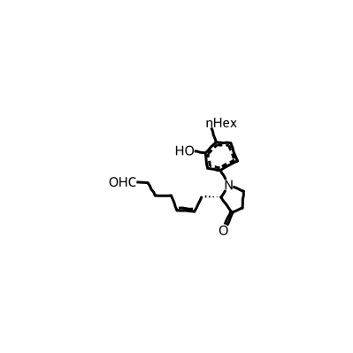 CCCCCCc1ccc(N2CCC(=O)[C@@H]2C/C=C\CCCC=O)cc1O